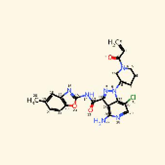 C=CC(=O)N1CCCC(n2nc(C(=O)Nc3nc4cc(C)ccc4o3)c3c(N)ncc(Cl)c32)C1